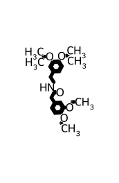 CCOc1ccc(CC(=O)NCCc2ccc(OC(C)C)c(OC(C)C)c2)cc1OCC